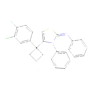 Br.Clc1ccc(C2(c3cs/c(=N/c4ccccc4)n3-c3ccccc3)CCC2)cc1Cl